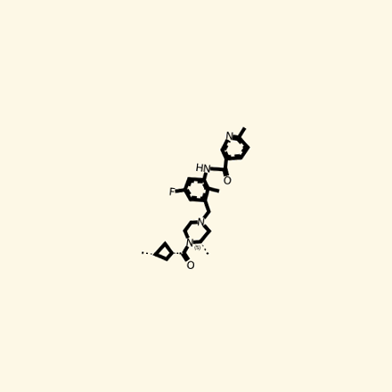 Cc1ccc(C(=O)Nc2cc(F)cc(CN3CCN(C(=O)[C@H]4C[C@@H](C)C4)[C@@H](C)C3)c2C)cn1